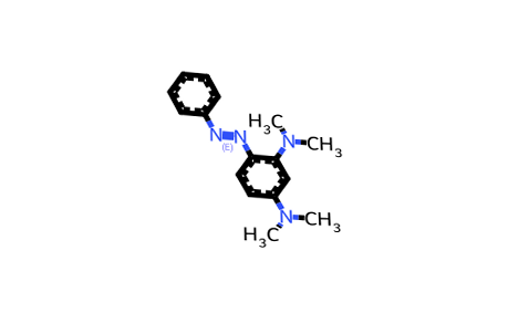 CN(C)c1ccc(/N=N/c2ccccc2)c(N(C)C)c1